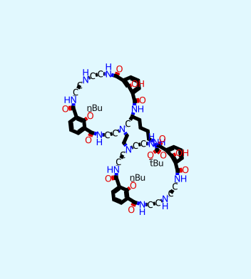 CCCCOc1c2cccc1C(=O)NCCN(CCN1CCNC(=O)c3cccc(c3OCCCC)C(=O)NCCNCCNC(=O)c3cccc(c3O)C(=O)NC(CCCCNC(=O)OC(C)(C)C)C1)CCNC(=O)c1cccc(c1O)C(=O)NCCNCCNC2=O